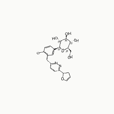 OC[C@H]1O[C@@H](c2ccc(Cl)c(Cc3ccc(C4CC=CO4)nn3)c2)[C@H](O)[C@@H](O)[C@@H]1O